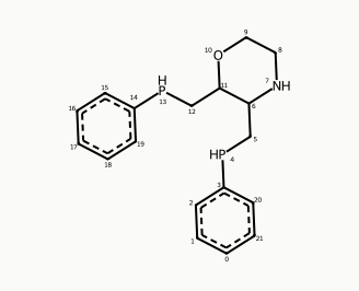 c1ccc(PCC2NCCOC2CPc2ccccc2)cc1